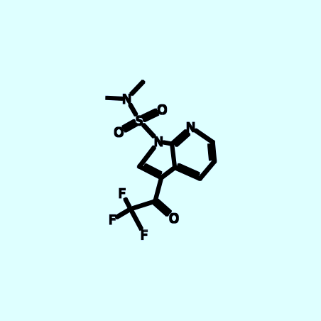 CN(C)S(=O)(=O)n1cc(C(=O)C(F)(F)F)c2cccnc21